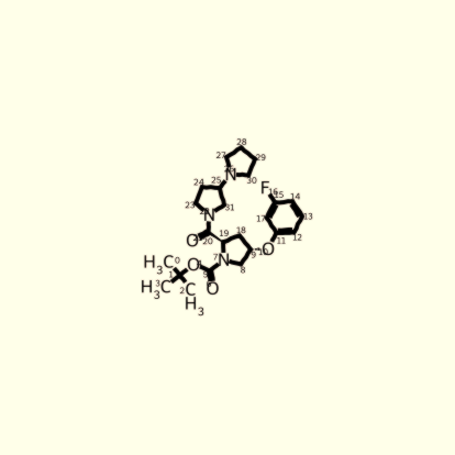 CC(C)(C)OC(=O)N1C[C@@H](Oc2cccc(F)c2)C[C@@H]1C(=O)N1CCC(N2CCCC2)C1